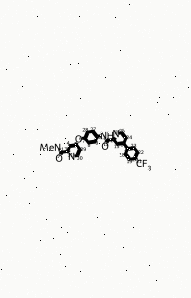 CNC(=O)c1cc(Oc2ccc(NC(=O)c3cc(-c4ccc(C(F)(F)F)cc4)ccn3)cc2)ccn1